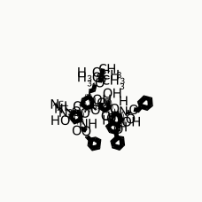 C[C@H]1C[C@@H](CCCO[Si](C)(C)C(C)(C)C)[C@H](O)[C@@H](O[C@@H]2O[C@H](CO)[C@@H](O[C@H]3O[C@H]4CCC(c5ccccc5)O[C@H]4[C@H](O)[C@H]3NC(=O)OCc3ccccc3)[C@H]2O)[C@@H]1O[C@H]1O[C@H](CN=[N+]=[N-])[C@@H](O)C[C@H]1NC(=O)OCc1ccccc1